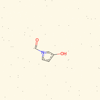 O=[C]n1ccc(O)c1